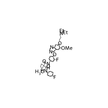 CCN(CC)CCCOc1cc2ncnc(Oc3ccc(NC(=O)[C@]4(C(=O)Nc5ccc(F)cc5)CC[C@H]4C)cc3F)c2cc1OC